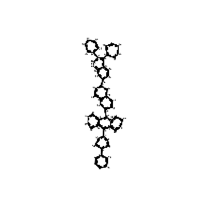 c1ccc(-c2ccc(-c3c4ccccc4c(-c4ccc5cc(-c6ccc7c(-c8ccccc8)c(-c8ccccc8)oc7c6)ccc5c4)c4ccccc34)cc2)cc1